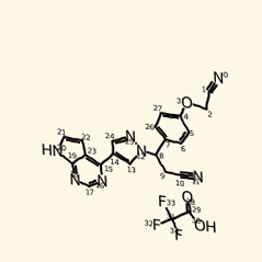 N#CCOc1ccc(C(CC#N)n2cc(-c3ncnc4[nH]ccc34)cn2)cc1.O=C(O)C(F)(F)F